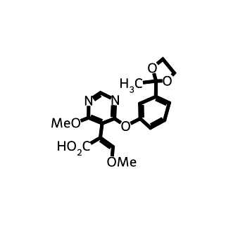 COC=C(C(=O)O)c1c(OC)ncnc1Oc1cccc(C2(C)OCCO2)c1